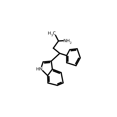 CC(N)CC(c1ccccc1)c1c[nH]c2ccccc12